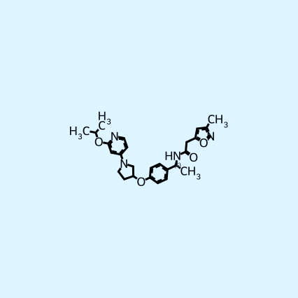 Cc1cc(CC(=O)N[C@@H](C)c2ccc(OC3CCN(c4ccnc(OC(C)C)c4)C3)cc2)on1